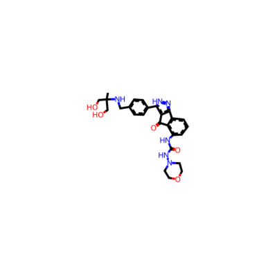 CC(CO)(CO)NCc1ccc(-c2[nH]nc3c2C(=O)c2c(NC(=O)NN4CCOCC4)cccc2-3)cc1